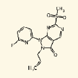 C=CCn1c(=O)c2cnc(S(C)(=O)=O)nc2n1-c1cccc(F)n1